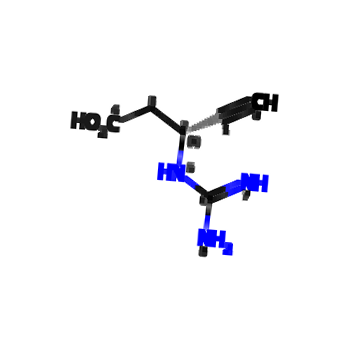 C#C[C@@H](CC(=O)O)NC(=N)N